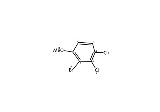 COc1ccc(Cl)c(Cl)c1Br